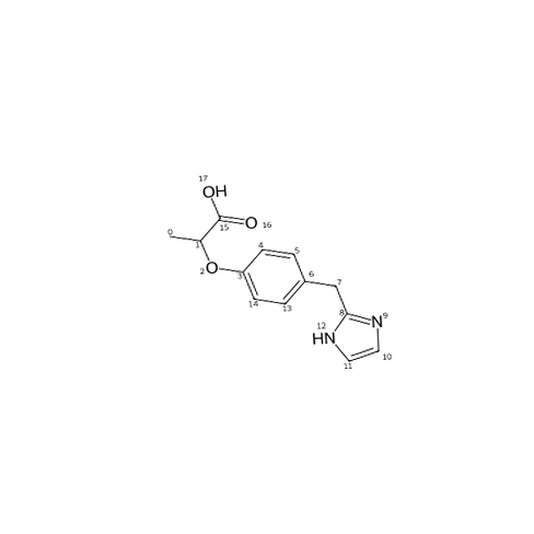 CC(Oc1ccc(Cc2ncc[nH]2)cc1)C(=O)O